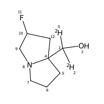 [2H]C([2H])(O)C12CCCN1CC(F)C2